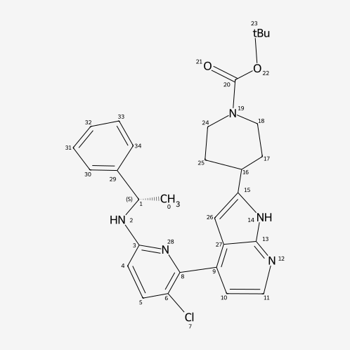 C[C@H](Nc1ccc(Cl)c(-c2ccnc3[nH]c(C4CCN(C(=O)OC(C)(C)C)CC4)cc23)n1)c1ccccc1